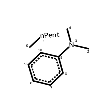 CCCCCC.CN(C)c1ccccc1